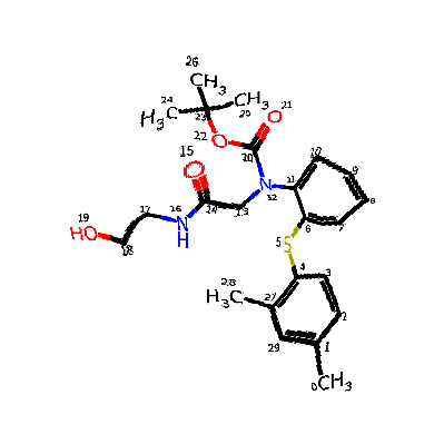 Cc1ccc(Sc2ccccc2N(CC(=O)NCCO)C(=O)OC(C)(C)C)c(C)c1